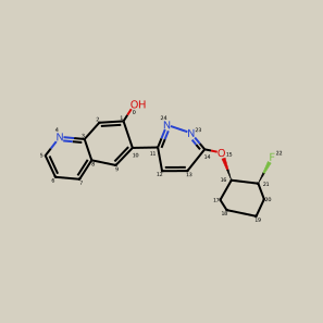 Oc1cc2ncccc2cc1-c1ccc(O[C@@H]2CCCC[C@@H]2F)nn1